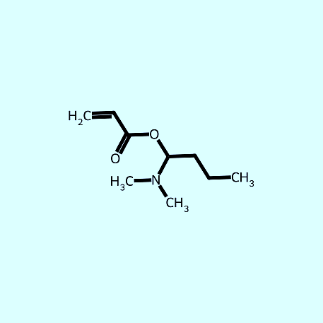 C=CC(=O)OC(CCC)N(C)C